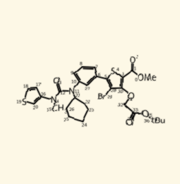 COC(=O)c1sc(-c2cccc(N(C(=O)N(C)c3ccsc3)C3CCCCC3)c2)c(Br)c1OCC(=O)OC(C)(C)C